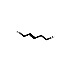 CCC(C)C/C=C/CCC(C)=O